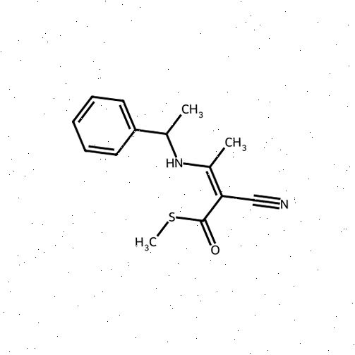 CSC(=O)C(C#N)=C(C)NC(C)c1ccccc1